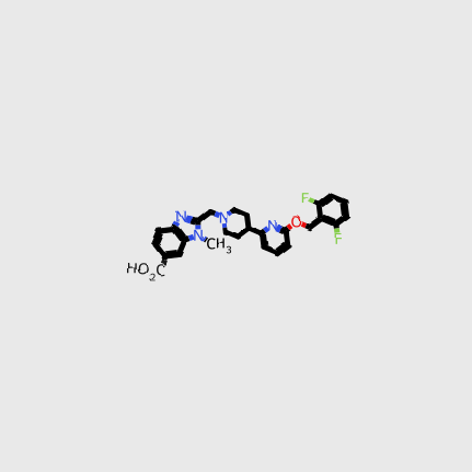 Cn1c(CN2CCC(c3cccc(OCc4c(F)cccc4F)n3)CC2)nc2ccc(C(=O)O)cc21